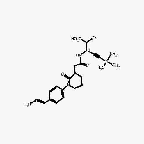 CCC(C(=O)O)[C@@H](C#C[Si](C)(C)C)NC(=O)CC1CCCN(c2ccc(C=NN)cc2)C1=O